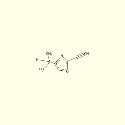 C#Cc1nc(C(C)(C)I)co1